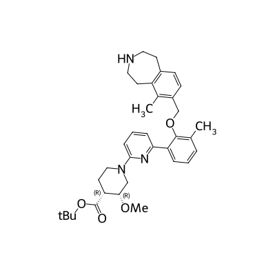 CO[C@H]1CN(c2cccc(-c3cccc(C)c3OCc3ccc4c(c3C)CCNCC4)n2)CC[C@H]1C(=O)OC(C)(C)C